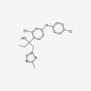 CCC(O)(Cn1cnc(C)n1)c1ccc(Oc2ccc(Cl)cc2)cc1Cl